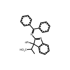 CCCC1(C(C)C(=O)O)C(N=C(c2ccccc2)c2ccccc2)=Nc2ccccc21